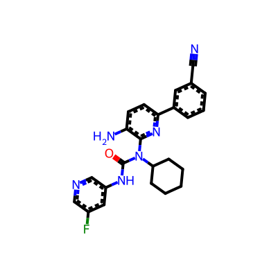 N#Cc1cccc(-c2ccc(N)c(N(C(=O)Nc3cncc(F)c3)C3CCCCC3)n2)c1